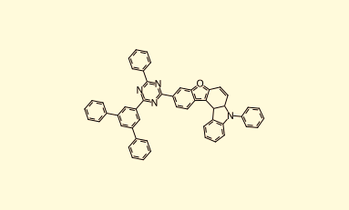 C1=CC2C(c3ccccc3N2c2ccccc2)c2c1oc1cc(-c3nc(-c4ccccc4)nc(-c4cc(-c5ccccc5)cc(-c5ccccc5)c4)n3)ccc21